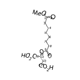 COC(=O)CCCCCCC(=O)OC(CC(=O)O)C(=O)O